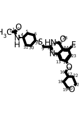 CC(=O)N[C@H]1CC[C@H](SCc2nc3cc(OCC4CCOCC4)cc(F)c3c(=O)[nH]2)CC1